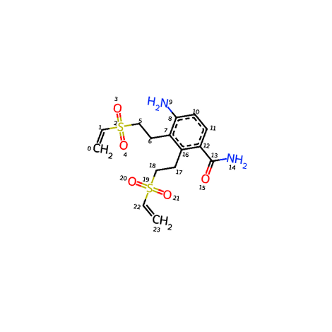 C=CS(=O)(=O)CCc1c(N)ccc(C(N)=O)c1CCS(=O)(=O)C=C